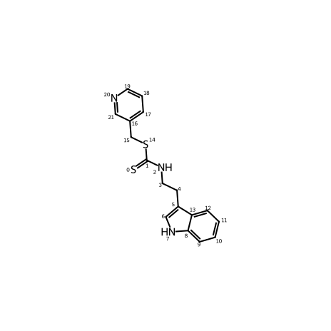 S=C(NCCc1c[nH]c2ccccc12)SCc1cccnc1